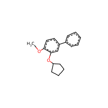 COc1ccc(-c2[c]cccc2)cc1OC1CCCC1